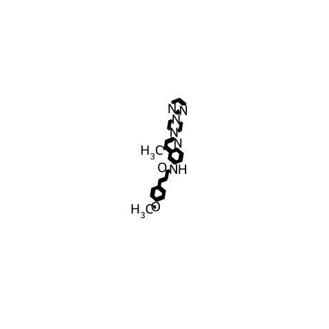 COc1ccc(C=CC(=O)Nc2ccc3nc(N4CCN(c5ncccn5)CC4)cc(C)c3c2)cc1